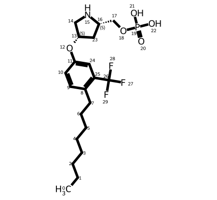 CCCCCCCCc1ccc(O[C@@H]2CN[C@H](COP(=O)(O)O)C2)cc1C(F)(F)F